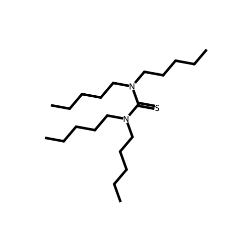 CCCCCN(CCCCC)C(=S)N(CCCCC)CCCCC